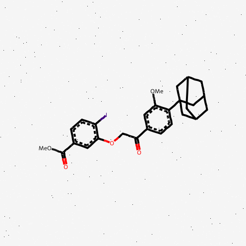 COC(=O)c1ccc(I)c(OCC(=O)c2ccc(C34CC5CC(CC(C5)C3)C4)c(OC)c2)c1